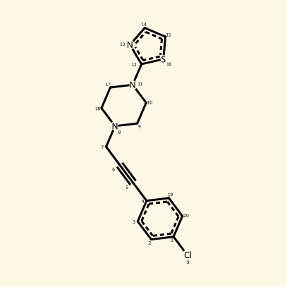 Clc1ccc(C#CCN2CCN(c3nccs3)CC2)cc1